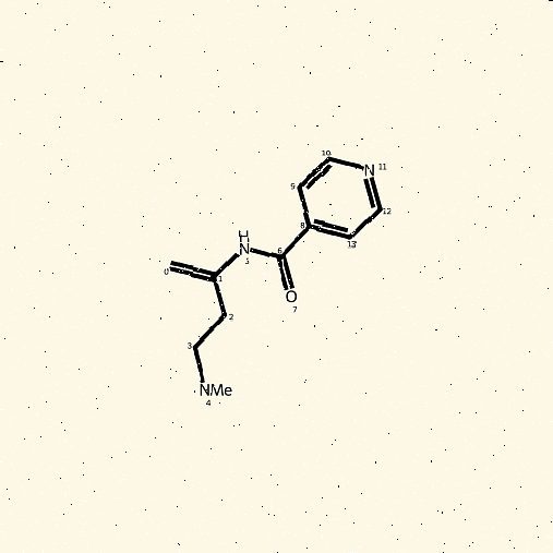 C=C(CCNC)NC(=O)c1ccncc1